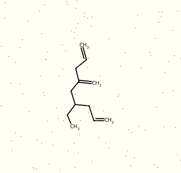 C=CCC(=C)CC(CC)CC=C